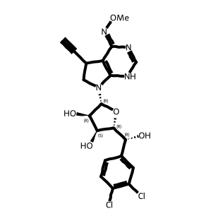 C#CC1CN([C@@H]2O[C@H]([C@H](O)c3ccc(Cl)c(Cl)c3)[C@@H](O)[C@H]2O)c2[nH]cnc(=NOC)c21